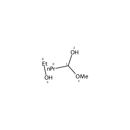 CCCC(O)OC.CCO